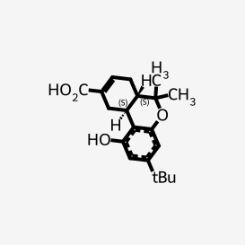 CC(C)(C)c1cc(O)c2c(c1)OC(C)(C)[C@H]1CC=C(C(=O)O)C[C@H]21